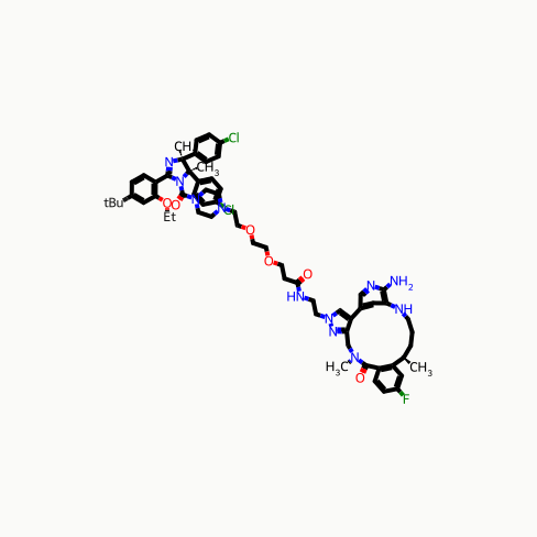 CCOc1cc(C(C)(C)C)ccc1C1=N[C@@](C)(c2ccc(Cl)cc2)[C@@](C)(c2ccc(Cl)cc2)N1C(=O)N1CCN(CCOCCOCCC(=O)NCCn2cc3c(n2)CN(C)C(=O)c2ccc(F)cc2[C@H](C)CCCNc2cc-3cnc2N)CC1